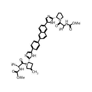 C=C1C[C@@H](c2ncc(-c3ccc(-c4ccc5cc(-c6cnc([C@@H]7CCCN7C(=O)C(NC(=O)OC)C(C)C)[nH]6)ccc5c4)cc3)[nH]2)N(C(=O)[C@@H](NC(=O)OC)C(C)C)C1